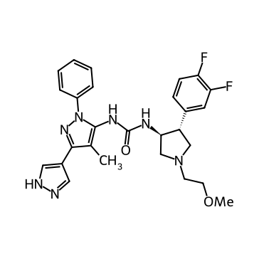 COCCN1C[C@@H](NC(=O)Nc2c(C)c(-c3cn[nH]c3)nn2-c2ccccc2)[C@H](c2ccc(F)c(F)c2)C1